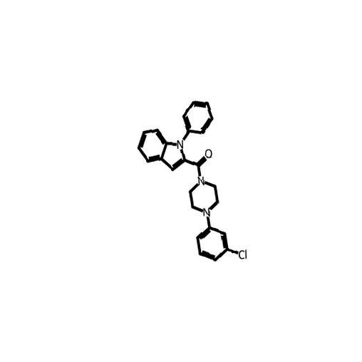 O=C(c1cc2ccccc2n1-c1ccccc1)N1CCN(c2cccc(Cl)c2)CC1